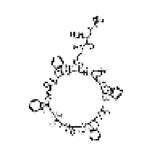 CC(C)CC1C(=O)N[C@@H](Cc2ccccc2)C(=O)N(C)CC(=O)N(C)[C@@H](Cc2ccccc2)C(=O)N[C@@H](C)C(=O)N(C)[C@@H](C)C(=O)N[C@H](Cc2ccccc2)C(=O)OCC(=O)N(C)[C@@H](Cc2ccccc2)C(=O)N[C@@H](CCCCNC(=O)[C@@H](N)CSSC(C)(C)C)C(=O)N1C